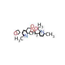 C1CCOC1.Cc1ccc(CC(=O)OC(=O)Cc2ccc(C)nc2C)c(C)n1